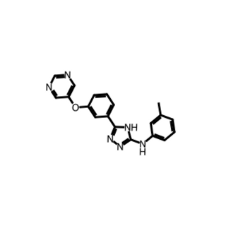 Cc1cccc(Nc2nnc(-c3cccc(Oc4cncnc4)c3)[nH]2)c1